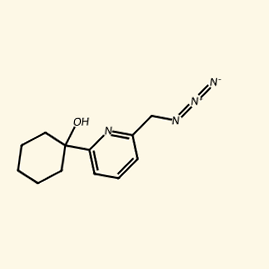 [N-]=[N+]=NCc1cccc(C2(O)CCCCC2)n1